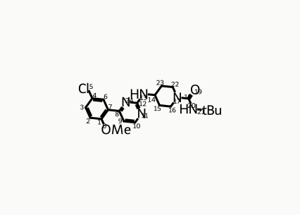 COc1ccc(Cl)cc1-c1ccnc(NC2CCN(C(=O)NC(C)(C)C)CC2)n1